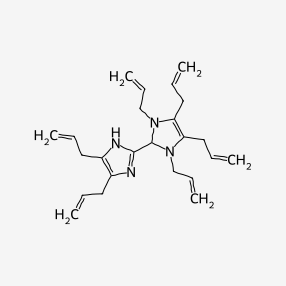 C=CCC1=C(CC=C)N(CC=C)C(c2nc(CC=C)c(CC=C)[nH]2)N1CC=C